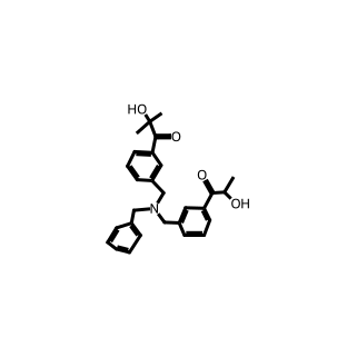 CC(O)C(=O)c1cccc(CN(Cc2ccccc2)Cc2cccc(C(=O)C(C)(C)O)c2)c1